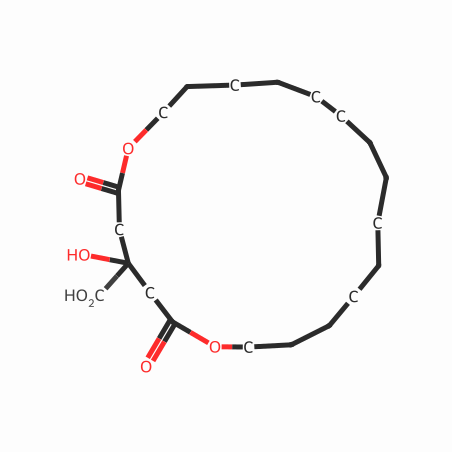 O=C1CC(O)(C(=O)O)CC(=O)OCCCCCCCCCCCCCCO1